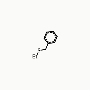 [CH2]CSCc1ccccc1